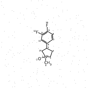 C[N+]1([O-])CCC(c2ccc(F)c(F)c2)C1